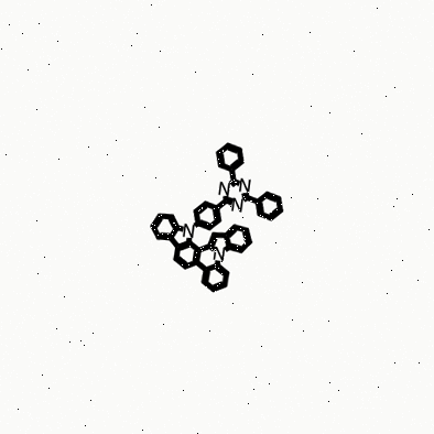 c1ccc(-c2nc(-c3ccccc3)nc(-c3ccc(-n4c5ccccc5c5ccc6c7ccccc7n7c8ccccc8cc7c6c54)cc3)n2)cc1